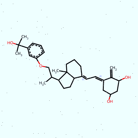 C=C1/C(=C/C=C2\CCCC3(C)C2CCC3C(C)COc2cccc(C(C)(C)O)c2)CC(O)CC1O